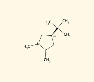 CC1C[C@H](C(C)(C)C)CN1C